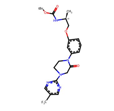 C[C@@H](COc1cccc(N2CCN(c3ncc(C(F)(F)F)cn3)CC2=O)c1)NC(=O)OC(C)(C)C